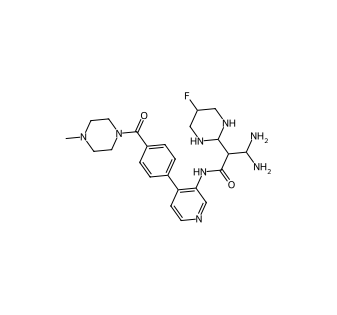 CN1CCN(C(=O)c2ccc(-c3ccncc3NC(=O)C(C(N)N)C3NCC(F)CN3)cc2)CC1